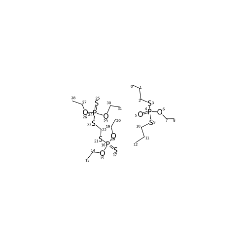 CCCSP(=O)(OCC)SCCC.CCOP(=S)(OCC)SCSP(=S)(OCC)OCC